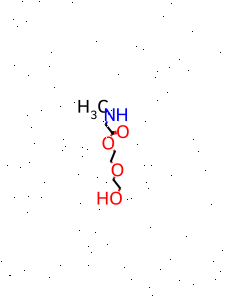 CNCC(=O)OCCOCCO